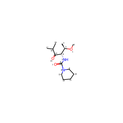 CO[C@H](C)[C@H](NC(=O)N1CCCCC1)C(=O)C(C)C